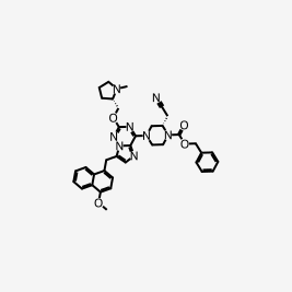 COc1ccc(Cc2cnc3c(N4CCN(C(=O)OCc5ccccc5)[C@@H](CC#N)C4)nc(OC[C@@H]4CCCN4C)nn23)c2ccccc12